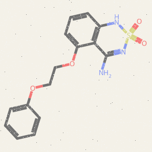 NC1=NS(=O)(=O)Nc2cccc(OCCOc3ccccc3)c21